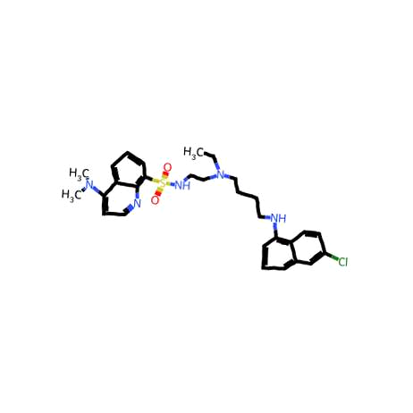 CCN(CCCCNc1cccc2cc(Cl)ccc12)CCNS(=O)(=O)c1cccc2c(N(C)C)ccnc12